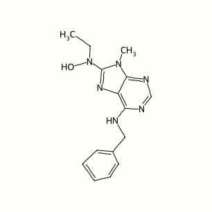 CCN(O)c1nc2c(NCc3ccccc3)ncnc2n1C